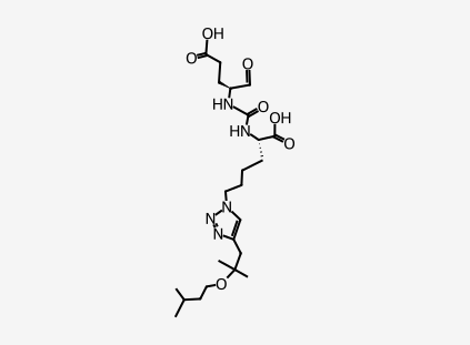 CC(C)CCOC(C)(C)Cc1cn(CCCC[C@H](NC(=O)N[C@H](C=O)CCC(=O)O)C(=O)O)nn1